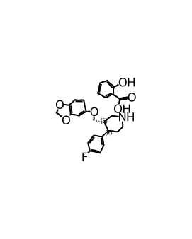 Fc1ccc([C@@H]2CCNC[C@H]2COc2ccc3c(c2)OCO3)cc1.O=C(O)c1ccccc1O